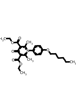 CCCCCCOc1ccc(-n2c(C)c(C(=O)OCC)c(=O)c(C(=O)OCC)c2C)cc1